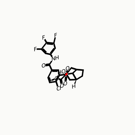 COC(=O)C1(O)CC2CC[C@H](C1)C2S(=O)(=O)c1cc(C(=O)Nc2cc(F)c(F)c(F)c2)ccc1Cl